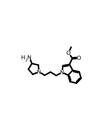 COC(=O)c1cn(CCCN2CCC(N)C2)c2ccccc12